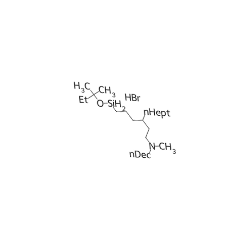 Br.CCCCCCCCCCN(C)CCC(CCCCCCC)CCC[SiH2]OC(C)(C)CC